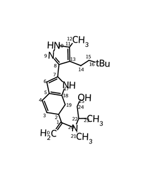 C=C(C1C=Cc2cc(-c3n[nH]c(C)c3CCC(C)(C)C)[nH]c2C1)N(C)C(C)CO